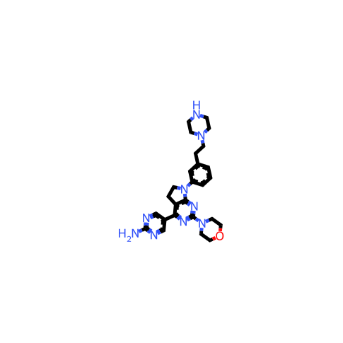 Nc1ncc(-c2nc(N3CCOCC3)nc3c2CCN3c2cccc(CCN3CCNCC3)c2)cn1